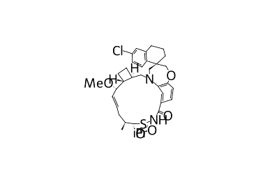 CO[C@H]1/C=C/C[C@H](C)[C@@H](C(C)C)S(=O)(=O)NC(=O)c2ccc3c(c2)N(C[C@@H]2CC[C@H]21)C[C@@]1(CCCc2cc(Cl)ccc21)CO3